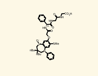 CCCCC1(CCCC)CN(c2ccccc2)c2cc(SC)c(OCC(=O)N[C@@H](C(=O)NCC(=O)NCC(=O)O)c3ccccc3)cc2[S+]([O-])C1